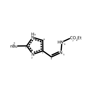 CCCCc1nc(/C=N\NC(=O)OCC)c[nH]1